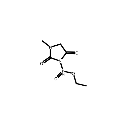 CCO[PH](=O)N1C(=O)CN(C)C1=O